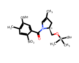 COc1cc(C(=O)N2C=C(C)C[C@H]2CO[Si](C)(C)C(C)(C)C)c([N+](=O)[O-])cc1C